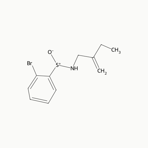 C=C(CC)CN[S+]([O-])c1ccccc1Br